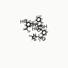 Cc1csc(CN(C)C(=O)c2cccc(C(=O)N[C@@H](Cc3ccccc3)[C@H](O)CNCc3cc(O)cc(C(C)C)c3)c2)n1